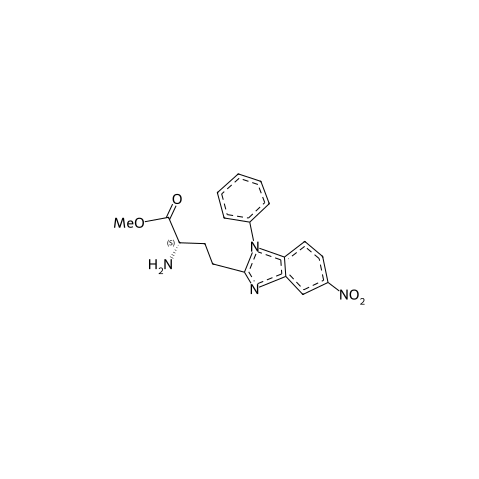 COC(=O)[C@@H](N)CCc1nc2cc([N+](=O)[O-])ccc2n1-c1ccccc1